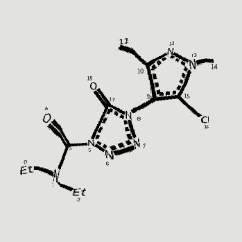 CCN(CC)C(=O)n1nnn(-c2c(C)nn(C)c2Cl)c1=O